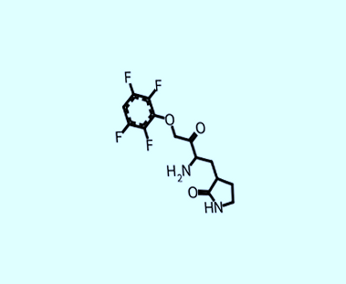 NC(CC1CCNC1=O)C(=O)COc1c(F)c(F)cc(F)c1F